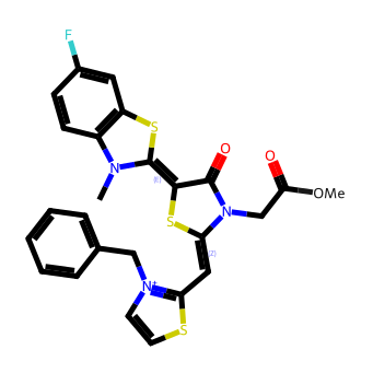 COC(=O)Cn1c(=O)/c(=C2\Sc3cc(F)ccc3N2C)s/c1=C\c1scc[n+]1Cc1ccccc1